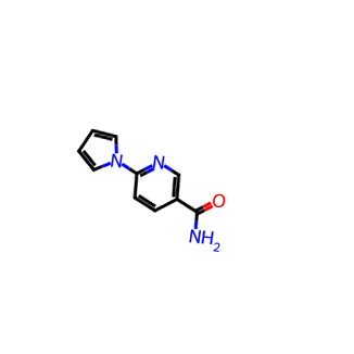 NC(=O)c1ccc(-n2cccc2)nc1